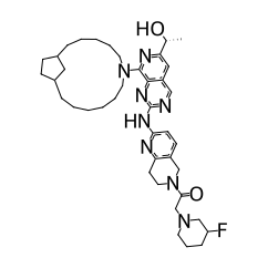 C[C@@H](O)c1cc2cnc(Nc3ccc4c(n3)CCN(C(=O)CN3CCCC(F)C3)C4)nc2c(N2CCCCCCC3CCC(CCCCC2)C3)n1